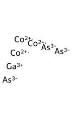 [As-3].[As-3].[As-3].[Co+2].[Co+2].[Co+2].[Ga+3]